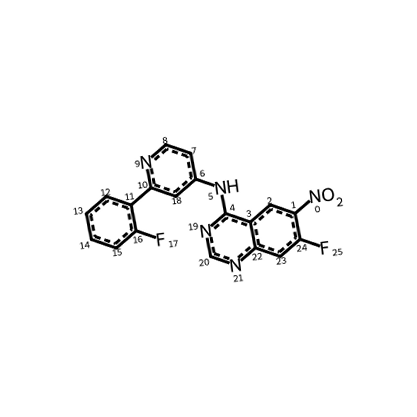 O=[N+]([O-])c1cc2c(Nc3ccnc(-c4ccccc4F)c3)ncnc2cc1F